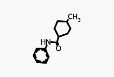 CC1CCC(C(=O)Nc2ccccc2)CC1